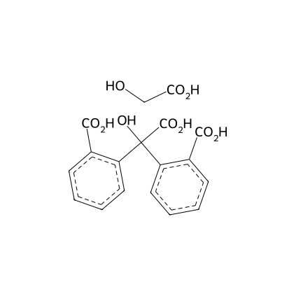 O=C(O)CO.O=C(O)c1ccccc1C(O)(C(=O)O)c1ccccc1C(=O)O